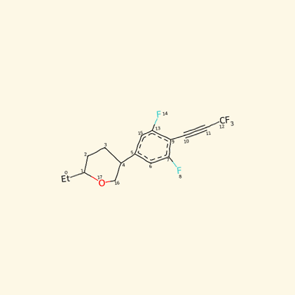 CCC1CCC(c2cc(F)c(C#CC(F)(F)F)c(F)c2)CO1